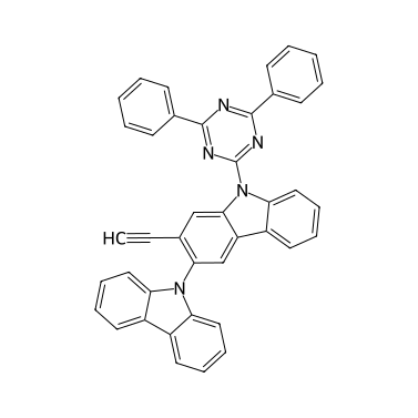 C#Cc1cc2c(cc1-n1c3ccccc3c3ccccc31)c1ccccc1n2-c1nc(-c2ccccc2)nc(-c2ccccc2)n1